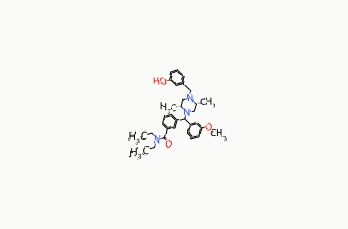 CCN(CC)C(=O)c1cccc(C(c2cccc(OC)c2)N2C[C@@H](C)N(Cc3cccc(O)c3)C[C@H]2C)c1